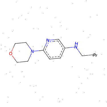 CC(C)CNc1ccc(N2CCOCC2)nc1